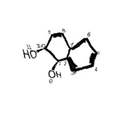 O[C@@H]1c2ccccc2C=C[C@@H]1O